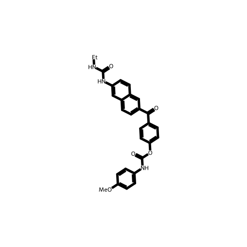 CCNC(=O)Nc1ccc2cc(C(=O)c3ccc(OC(=O)Nc4ccc(OC)cc4)cc3)ccc2c1